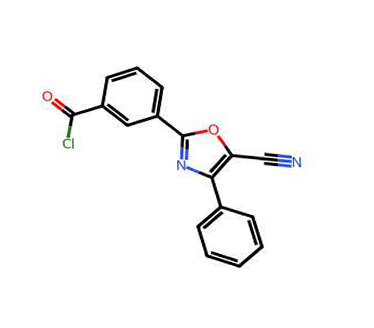 N#Cc1oc(-c2cccc(C(=O)Cl)c2)nc1-c1ccccc1